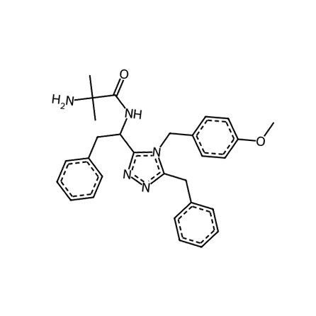 COc1ccc(Cn2c(Cc3ccccc3)nnc2C(Cc2ccccc2)NC(=O)C(C)(C)N)cc1